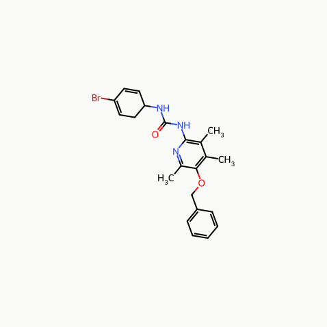 Cc1nc(NC(=O)NC2C=CC(Br)=CC2)c(C)c(C)c1OCc1ccccc1